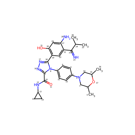 CC1CN(c2ccc(-n3c(C(=O)NC4CC4)nnc3-c3cc(C(=N)C(C)C)c(N)cc3O)cc2)CC(C)O1